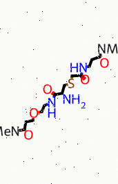 CNC(=O)CCNC(=O)CSC[C@H](N)C(=O)NCCOCCC(=O)NC